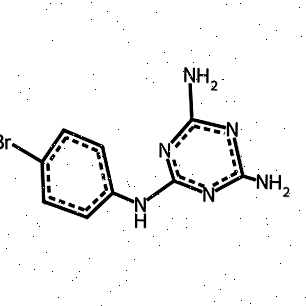 Nc1nc(N)nc(Nc2ccc(Br)cc2)n1